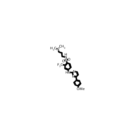 COc1ccc(-c2ccnc(Nc3ccc(S(=O)(=O)NCCCN(C)C)c(C(F)(F)F)c3)n2)cc1